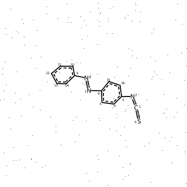 S=C=Nc1ccc(/N=N/c2ccccc2)cc1